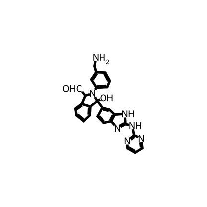 NCc1cccc(N2C(C=O)c3ccccc3C2(O)c2ccc3nc(Nc4ncccn4)[nH]c3c2)c1